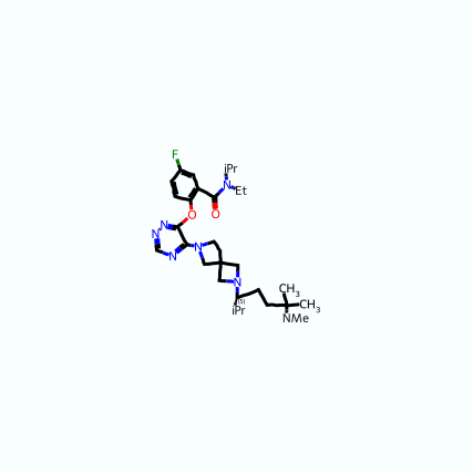 CCN(C(=O)c1cc(F)ccc1Oc1nncnc1N1CCC2(C1)CN([C@@H](CCC(C)(C)NC)C(C)C)C2)C(C)C